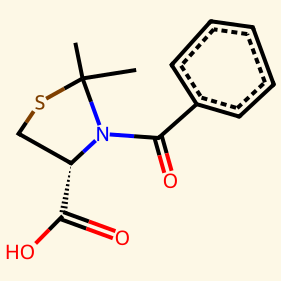 CC1(C)SC[C@@H](C(=O)O)N1C(=O)c1ccccc1